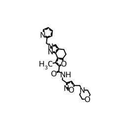 Cc1c(C(=O)NCc2cc(CN3CCOCC3)on2)oc2c1-c1nn(Cc3ccccn3)cc1CC2